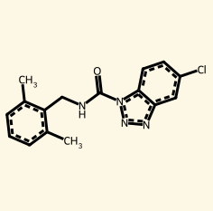 Cc1cccc(C)c1CNC(=O)n1nnc2cc(Cl)ccc21